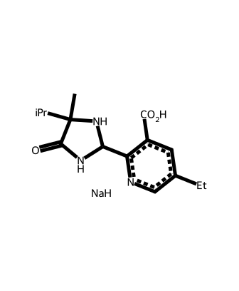 CCc1cnc(C2NC(=O)C(C)(C(C)C)N2)c(C(=O)O)c1.[NaH]